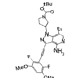 CCc1cnc(N)c2c(C#Cc3c(F)c(OC)cc(OC)c3F)nn(C3CCN(C(=O)OC(C)(C)C)C3)c12